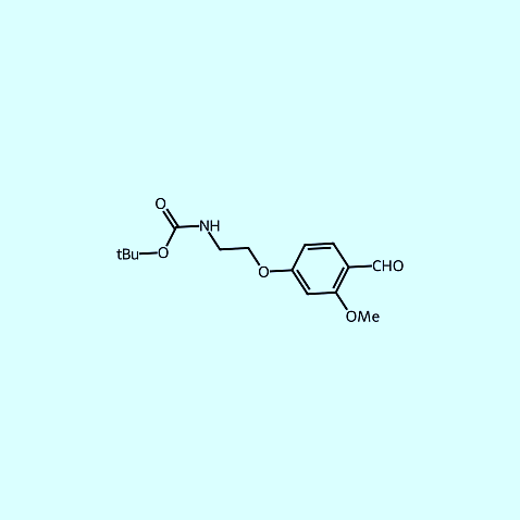 COc1cc(OCCNC(=O)OC(C)(C)C)ccc1C=O